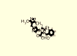 CCN1CN(c2cnn(Cc3c(C)noc3C)c2)C(C(=O)C=O)N1Cc1ccccc1